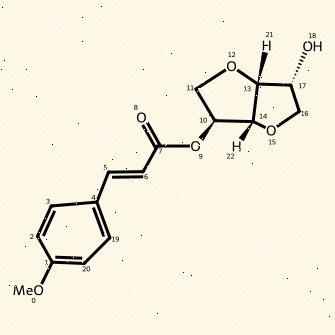 COc1ccc(C=CC(=O)O[C@H]2CO[C@H]3[C@@H]2OC[C@H]3O)cc1